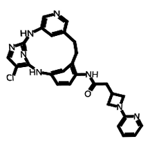 O=C(CC1CN(c2ccccn2)C1)Nc1ccc2cc1CCc1cncc(c1)Nc1ncc(Cl)c(n1)N2